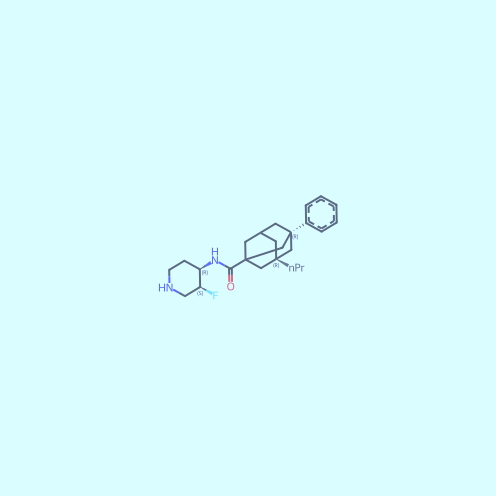 CCC[C@]12CC3CC(C(=O)N[C@@H]4CCNC[C@@H]4F)(C1)C[C@@](c1ccccc1)(C3)C2